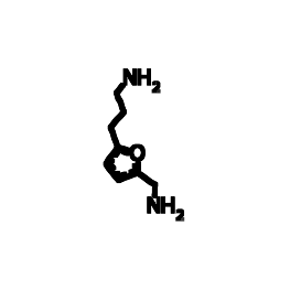 NCCCc1ccc(CN)o1